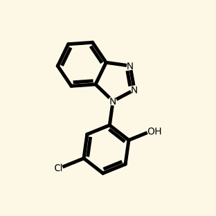 Oc1ccc(Cl)cc1-n1nnc2ccccc21